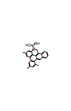 Cc1cc(C)c(-c2cc3ccccc3c(COB(O)O)c2-c2c(C)cc(C)cc2C)c(C)c1